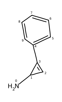 NC1C=C1c1ccccc1